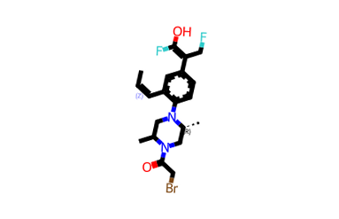 C/C=C\c1cc(C(CF)=C(O)F)ccc1N1CC(C)N(C(=O)CBr)C[C@H]1C